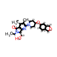 CCN1C(=O)c2c(nc(N3CCC(Oc4ccc5c(c4)COC5)CC3)c(C)c2C)[C@H]1CO